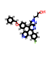 OCCCn1cc2c(-c3ccc(OCc4ccccc4)cc3)c(-c3ccncc3)c(-c3ccc(F)cc3)nc2n1